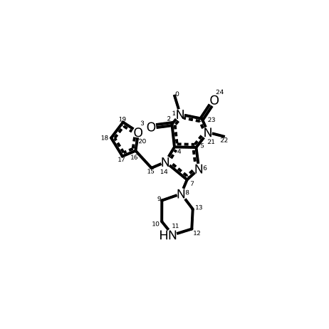 Cn1c(=O)c2c(nc(N3CCNCC3)n2Cc2ccco2)n(C)c1=O